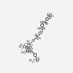 Cc1ncsc1-c1ccc(CNC(=O)[C@@H]2C[C@@H](O)CN2C(=O)C(NC(=O)CCOCCNC(=O)CC2CCN(Cc3nc4cc(NC(=O)c5ccc6c(cnn6C)c5)ccc4[nH]3)C2)C(C)(C)C)cc1